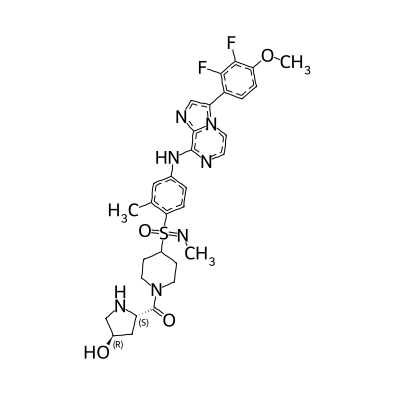 CN=S(=O)(c1ccc(Nc2nccn3c(-c4ccc(OC)c(F)c4F)cnc23)cc1C)C1CCN(C(=O)[C@@H]2C[C@@H](O)CN2)CC1